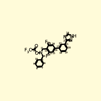 O=C(ON(Cc1ccccc1)Cc1c(F)cc(-c2cccc(-c3nc[nH]n3)c2)cc1F)C(F)(F)F